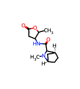 CC1OC(=O)CC1NC(=O)C1[C@H]2CC[C@H](C2)N1C